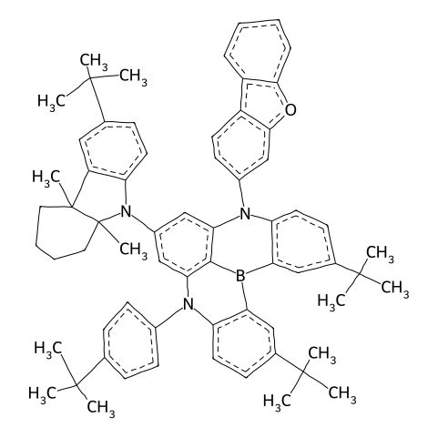 CC(C)(C)c1ccc(N2c3ccc(C(C)(C)C)cc3B3c4cc(C(C)(C)C)ccc4N(c4ccc5c(c4)oc4ccccc45)c4cc(N5c6ccc(C(C)(C)C)cc6C6(C)CCCCC56C)cc2c43)cc1